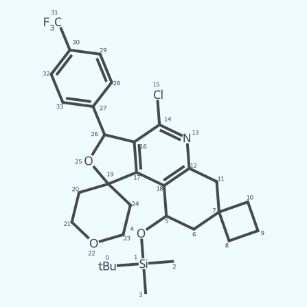 CC(C)(C)[Si](C)(C)OC1CC2(CCC2)Cc2nc(Cl)c3c(c21)C1(CCOCC1)OC3c1ccc(C(F)(F)F)cc1